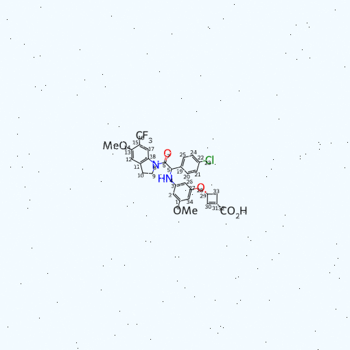 COc1cc(NC(C(=O)N2CCc3cc(OC)c(C(F)(F)F)cc32)c2ccc(Cl)cc2)cc(O[C@@H]2C=C(C(=O)O)C2)c1